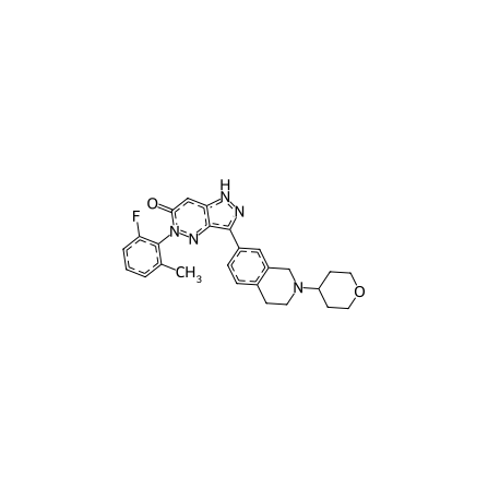 Cc1cccc(F)c1-n1nc2c(-c3ccc4c(c3)CN(C3CCOCC3)CC4)n[nH]c2cc1=O